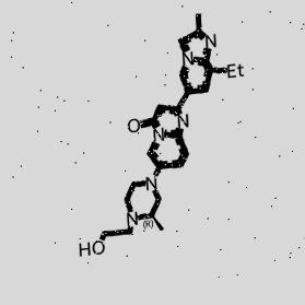 CCc1cc(-c2cc(=O)n3cc(N4CCN(CCO)[C@H](C)C4)ccc3n2)cn2cc(C)nc12